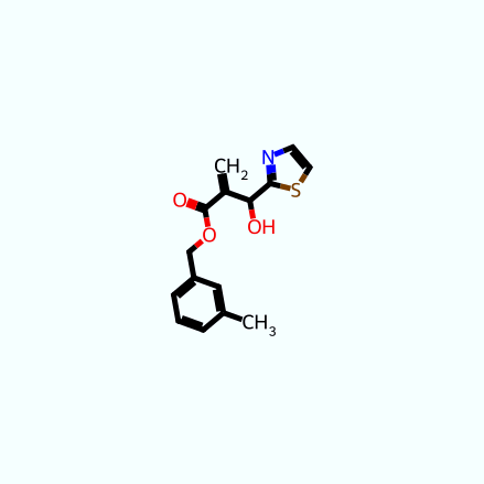 C=C(C(=O)OCc1cccc(C)c1)C(O)c1nccs1